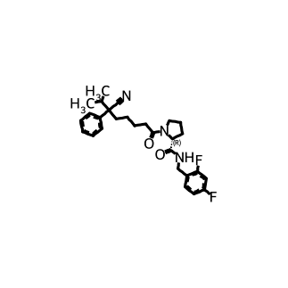 CC(C)C(C#N)(CCCCC(=O)N1CCC[C@@H]1C(=O)NCc1ccc(F)cc1F)c1ccccc1